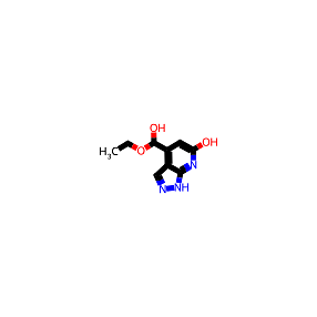 CCOC(O)c1cc(O)nc2[nH]ncc12